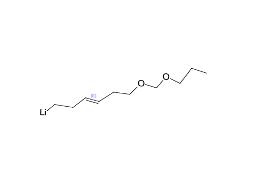 [Li][CH2]C/C=C/CCOCOCCC